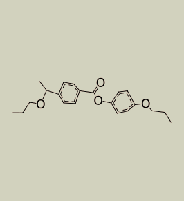 CCCOc1ccc(OC(=O)c2ccc(C(C)OCCC)cc2)cc1